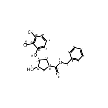 O=C(OCc1ccccc1)N1C[C@@H](O)[C@H](Oc2cccc(Cl)c2Cl)C1